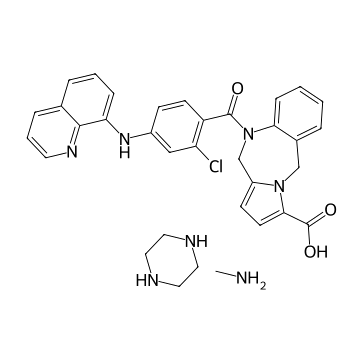 C1CNCCN1.CN.O=C(O)c1ccc2n1Cc1ccccc1N(C(=O)c1ccc(Nc3cccc4cccnc34)cc1Cl)C2